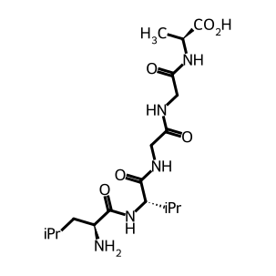 CC(C)C[C@H](N)C(=O)N[C@H](C(=O)NCC(=O)NCC(=O)N[C@@H](C)C(=O)O)C(C)C